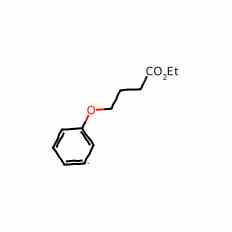 CCOC(=O)CCCOc1c[c]ccc1